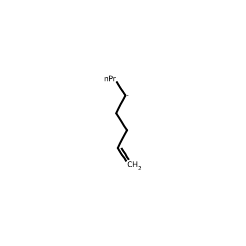 C=CCC[CH]C[CH]C